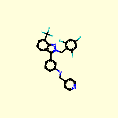 Fc1cc(F)c(Cn2nc3c(C(F)(F)F)cccc3c2-c2cccc(NCc3ccncc3)c2)c(F)c1